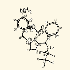 CC(C)(C)[Si](C)(C)OC(c1ccccc1)[C@H]1CC[C@@H](Cc2ccc(N)cc2)N1C(=O)O